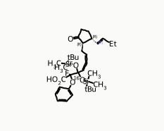 CC/C=C/[C@H]1CCC(=O)[C@@H]1CC=C=CC([16O][Si](C)(C)C(C)(C)C)([16O][Si](C)(C)C(C)(C)C)C(F)(Oc1ccccc1)C(=O)O